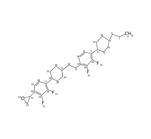 CCCC1CCC(c2ccc(CCC3CCC(c4ccc(C5CO5)c(F)c4F)CC3)c(F)c2F)CC1